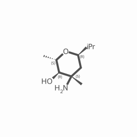 CC(C)[C@H]1C[C@](C)(N)[C@@H](O)[C@H](C)O1